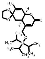 CC1=C[C@H]2OC(=O)C=C(CO[Si](C(C)C)(C(C)C)C(C)C)[C@H]2CC12OCCO2